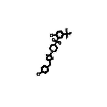 O=S(=O)(c1cc(C(F)(F)F)ccc1Cl)C1CCN(c2nc(Cc3ccc(Cl)cc3)cs2)CC1